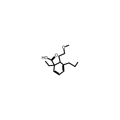 CCCC1=CC=CC(CC)(C(=O)O)C1CCOC